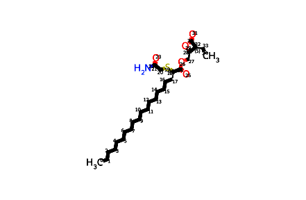 CCCCCCCCCCCCCCCCCC[C@H](SCC(N)=O)C(=O)OC[C@H]1OC(=O)[C@H]1CC